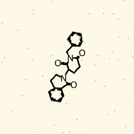 O=C1CCC(N2CCc3ccccc3C2=O)C(=O)N1Cc1ccccc1